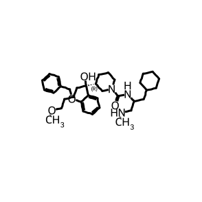 CNCC(CC1CCCCC1)NC(=O)N1CCC[C@@H](C(O)(CCCCOC)c2ccccc2OCc2ccccc2)C1